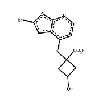 O=C(O)C1(Sc2ccnc3sc(Br)cc23)CC(O)C1